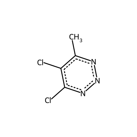 Cc1nnnc(Cl)c1Cl